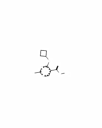 COC(=O)c1cnc(Cl)nc1NC1CCC1